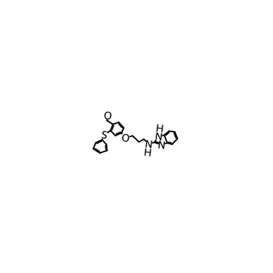 O=Cc1ccc(OCCCNc2nc3ccccc3[nH]2)cc1Sc1ccccc1